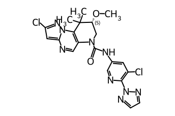 CO[C@@H]1CN(C(=O)Nc2cnc(-n3nccn3)c(Cl)c2)c2cnc3cc(Cl)nn3c2C1(C)C